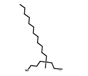 CCCCCCCCCCCC[N+](C)(CCO)CCCO